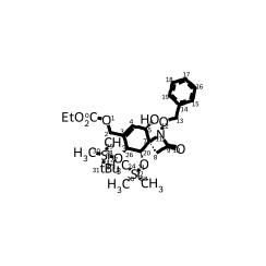 CCOC(=O)OCC1=C[C@@H](O)[C@]2(CC(=O)N2OCc2ccccc2)[C@H](O[Si](C)(C)C)[C@@H]1O[Si](C)(C)C(C)(C)C